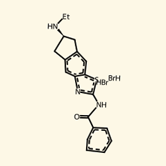 Br.Br.CCN[C@@H]1Cc2cc3nc(NC(=O)c4ccccc4)sc3cc2C1